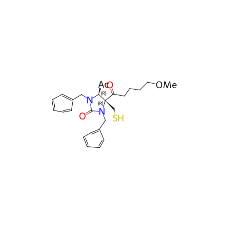 COCCCCC(=O)[C@@]1(CS)[C@H](C(C)=O)N(Cc2ccccc2)C(=O)N1Cc1ccccc1